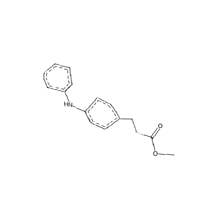 COC(=O)CCc1ccc(Nc2ccccc2)cc1